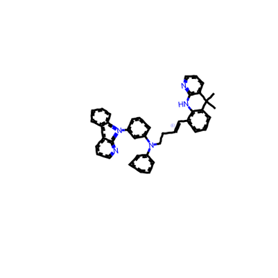 CC1(C)c2cccnc2Nc2c(/C=C/CCN(c3ccccc3)c3cccc(-n4c5ccccc5c5cccnc54)c3)cccc21